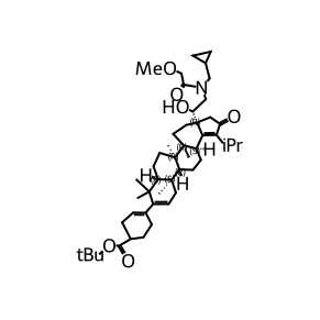 COCC(=O)N(CC1CC1)CC(O)[C@@]12CC[C@]3(C)[C@H](CC[C@@H]4[C@@]5(C)CC=C(C6=CCC(C(=O)OC(C)(C)C)CC6)C(C)(C)[C@@H]5CC[C@]43C)C1=C(C(C)C)C(=O)C2